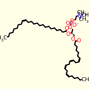 CCCCC/C=C\C/C=C\C/C=C\C/C=C\CCCCCC(=O)OC[C@H](COP(=O)([O-])OCC[N+](C)(C)C)OC(=O)CCCCCCCCCCCCC/C=C\CCCCCCCC